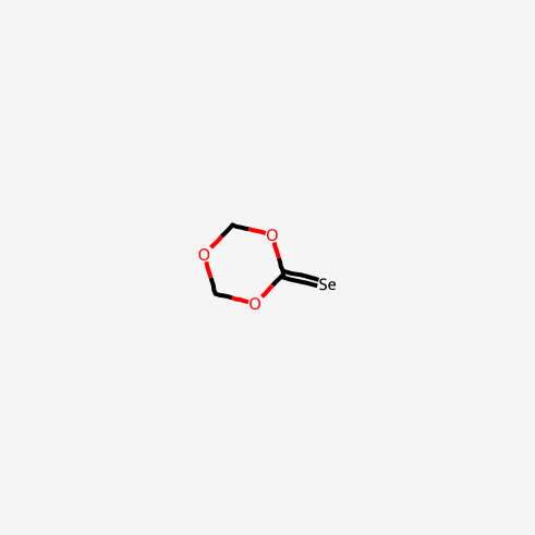 [Se]=C1OCOCO1